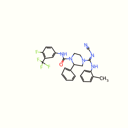 Cc1ccccc1N/C(=N/C#N)N1CCN(C(=O)Nc2ccc(F)c(C(F)(F)F)c2)C(c2ccccc2)C1